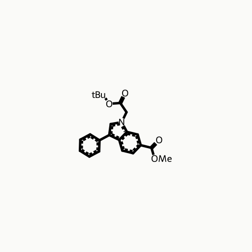 COC(=O)c1ccc2c(-c3ccccc3)cn(CC(=O)OC(C)(C)C)c2c1